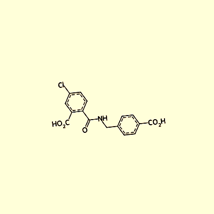 O=C(O)c1ccc(CNC(=O)c2ccc(Cl)cc2C(=O)O)cc1